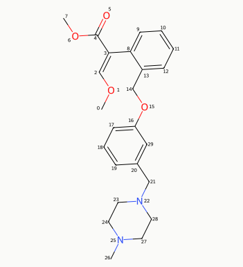 CO/C=C(/C(=O)OC)c1ccccc1COc1cccc(CN2CCN(C)CC2)c1